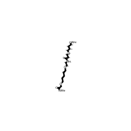 CNC(=O)COCCCCCOCCNC(=O)CCOCCCCOC